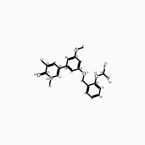 CSc1cc(OCc2ccccc2OC(F)F)cc(-c2cc(C)c(=O)n(C)c2)c1